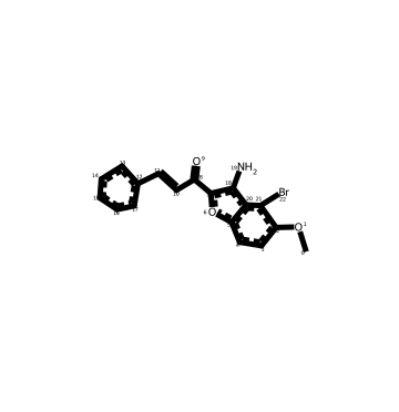 COc1ccc2oc(C(=O)C=Cc3ccccc3)c(N)c2c1Br